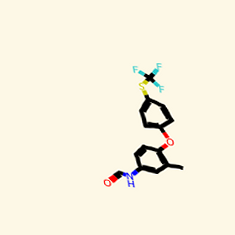 Cc1cc(NC=O)ccc1Oc1ccc(SC(F)(F)F)cc1